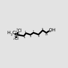 C[Si](Cl)(Cl)CCCCCCCO